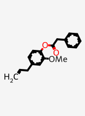 C=CCc1ccc(OC(=O)Cc2ccccc2)c(OC)c1